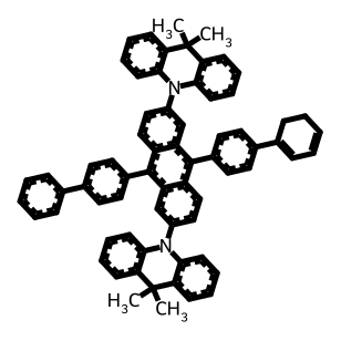 CC1(C)c2ccccc2N(c2ccc3c(-c4ccc(-c5ccccc5)cc4)c4cc(N5c6ccccc6C(C)(C)c6ccccc65)ccc4c(-c4ccc(C5=CC=CCC5)cc4)c3c2)c2ccccc21